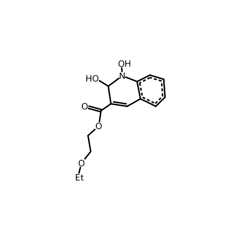 CCOCCOC(=O)C1=Cc2ccccc2N(O)C1O